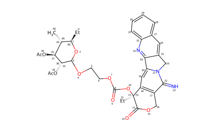 CC[C@H]1OC(OCCOC(=O)O[C@]2(CC)C(=O)OCc3c2cc2n(c3=N)Cc3cc4ccccc4nc3-2)[C@H](OC(C)=O)[C@@H](OC(C)=O)[C@@H]1C